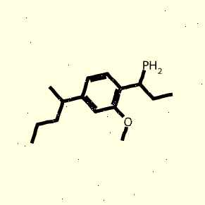 CCCC(C)c1ccc(C(P)CC)c(OC)c1